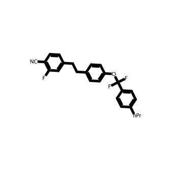 CCCc1ccc(C(F)(F)Oc2ccc(CCc3ccc(C#N)c(F)c3)cc2)cc1